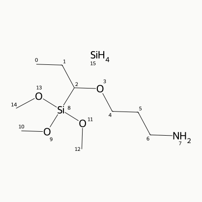 CCC(OCCCN)[Si](OC)(OC)OC.[SiH4]